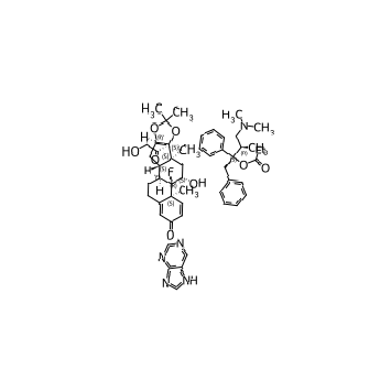 CC1(C)O[C@@H]2C[C@H]3[C@@H]4CCC5=CC(=O)C=C[C@]5(C)[C@@]4(F)[C@@H](O)C[C@]3(C)[C@]2(C(=O)CO)O1.CCC(=O)O[C@](Cc1ccccc1)(c1ccccc1)[C@H](C)CN(C)C.c1ncc2[nH]cnc2n1